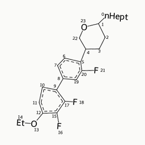 CCCCCCCC1CCC(c2ccc(-c3ccc(OCC)c(F)c3F)cc2F)CO1